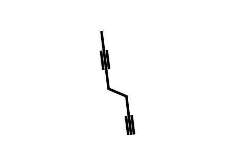 C#CCCC#C[CH2]